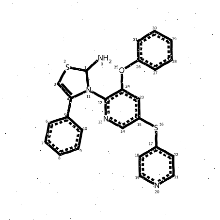 NC1SC=C(c2ccccc2)N1c1ncc(Sc2ccncc2)cc1Oc1ccccc1